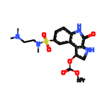 CCCOC(=O)Oc1c[nH]c2c(=O)[nH]c3ccc(S(=O)(=O)N(C)CCN(C)C)cc3c12